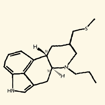 CCCN1CC(CSC)C[C@H]2c3cccc4[nH]cc(c34)C[C@@H]21